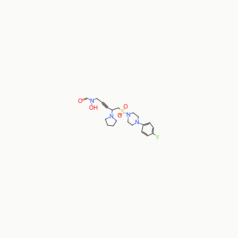 O=CN(O)CC#CC(CS(=O)(=O)N1CCN(c2ccc(F)cc2)CC1)N1CCCC1